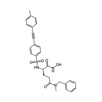 Cc1ccc(C#Cc2ccc(S(=O)(=O)N[C@H](CCC(=O)N(C)Cc3ccccc3)C(=O)NO)cc2)cc1